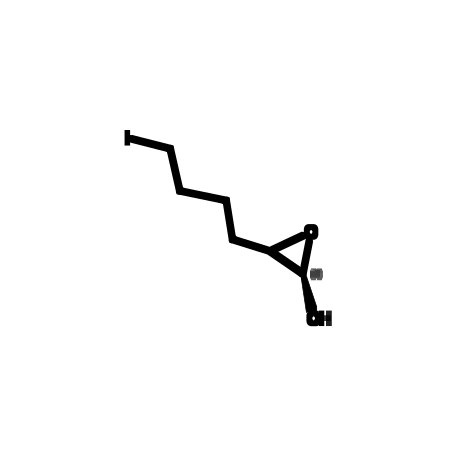 O[C@@H]1OC1CCCCI